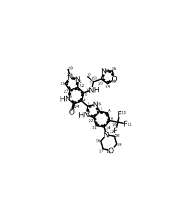 C[C@H](Nc1c(-c2nc3cc(C(F)(F)F)c(N4CCOCC4)cc3[nH]2)c(=O)[nH]c2cn(C)nc12)c1cocn1